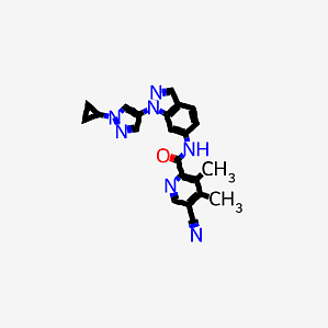 Cc1c(C#N)cnc(C(=O)Nc2ccc3cnn(-c4cnn(C5CC5)c4)c3c2)c1C